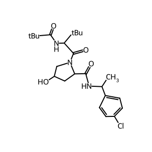 CC(NC(=O)C1CC(O)CN1C(=O)C(NC(=O)C(C)(C)C)C(C)(C)C)c1ccc(Cl)cc1